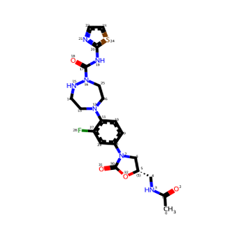 CC(=O)NC[C@H]1CN(c2ccc(N3CCNN(C(=O)Nc4nccs4)CC3)c(F)c2)C(=O)O1